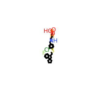 O=[PH](O)OCCCNCc1ccc(SCCCCC2(c3ccc(F)cc3)CCCC2)c(Cl)c1